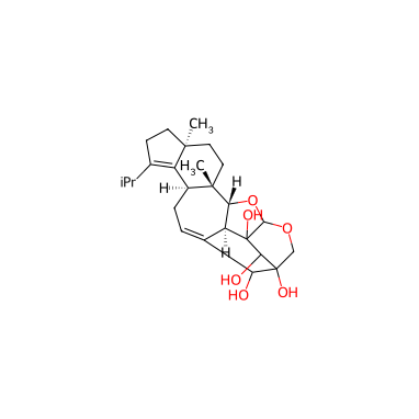 CC(C)C1=C2[C@@H]3CC=C4C(O)C5(O)COC6O[C@H]([C@H]4C6(O)C5O)[C@@]3(C)CC[C@]2(C)CC1